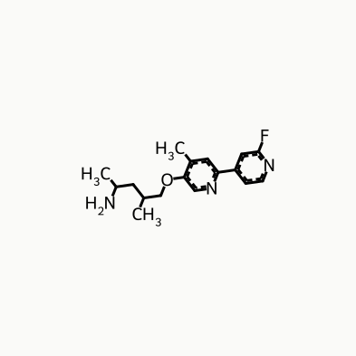 Cc1cc(-c2ccnc(F)c2)ncc1OCC(C)CC(C)N